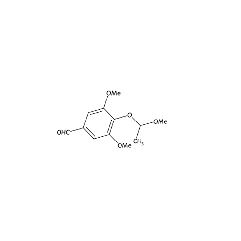 COc1cc(C=O)cc(OC)c1OC(C)OC